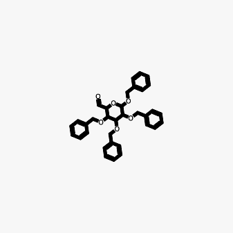 O=CC1OC(OCc2ccccc2)C(OCc2ccccc2)C(OCc2ccccc2)C1OCc1ccccc1